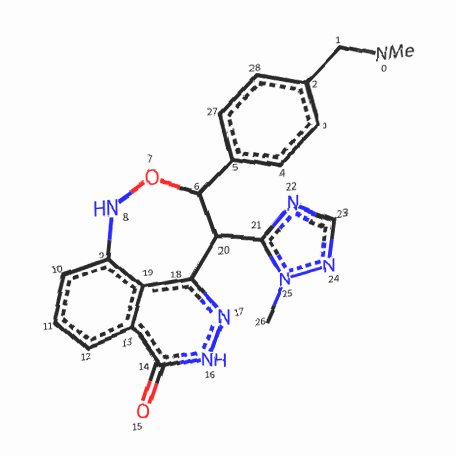 CNCc1ccc(C2ONc3cccc4c(=O)[nH]nc(c34)C2c2ncnn2C)cc1